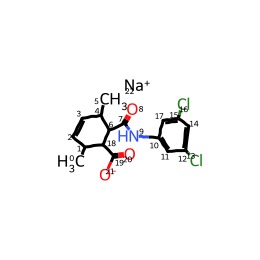 CC1C=CC(C)C(C(=O)Nc2cc(Cl)cc(Cl)c2)C1C(=O)[O-].[Na+]